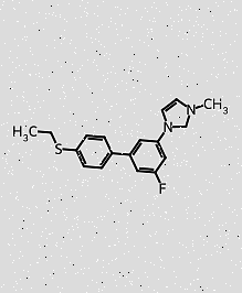 CCSc1ccc(-c2cc(F)cc(N3C=CN(C)C3)c2)cc1